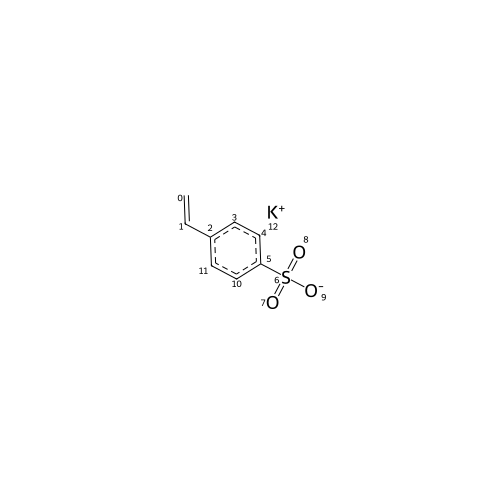 C=Cc1ccc(S(=O)(=O)[O-])cc1.[K+]